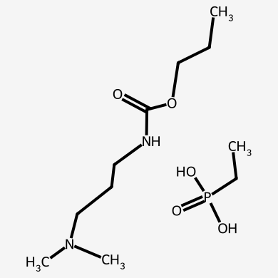 CCCOC(=O)NCCCN(C)C.CCP(=O)(O)O